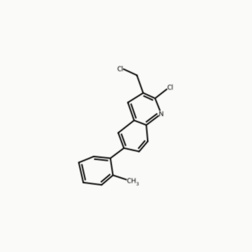 Cc1ccccc1-c1ccc2nc(Cl)c(CCl)cc2c1